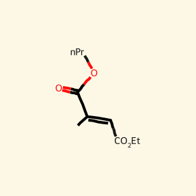 CCCOC(=O)C(C)=CC(=O)OCC